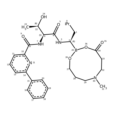 CC(C)C[C@H](NC(=O)[C@@H](NC(=O)c1cccc(-c2ccccc2)n1)[C@@H](C)O)B1OCCCN(C)CCC(=O)O1